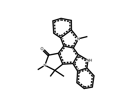 CN1C(=O)c2c(c3c4ccccc4[nH]c3c3c2c2ccccc2n3C)C1(C)C